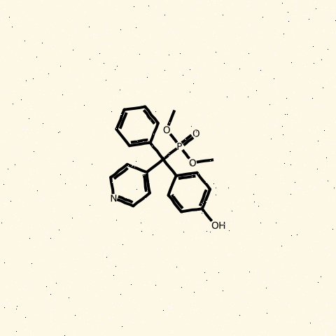 COP(=O)(OC)C(c1ccccc1)(c1ccncc1)c1ccc(O)cc1